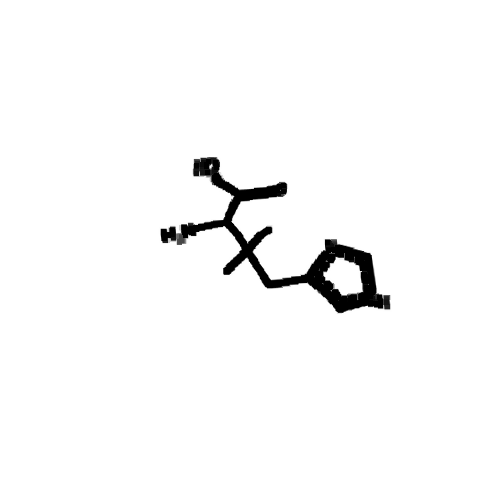 CC(C)(Cc1c[nH]cn1)C(N)C(=O)O